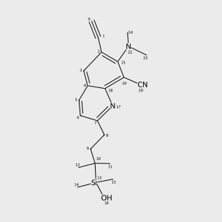 C#Cc1cc2ccc(CCC(C)(C)[Si](C)(C)O)nc2c(C#N)c1N(C)C